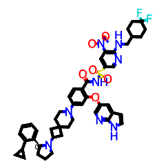 O=C(NS(=O)(=O)c1cnc(NCC2CCC(F)(F)CC2)c([N+](=O)[O-])c1)c1ccc(N2CCC3(CC2)CC(N2CCC[C@H]2c2ccccc2C2CC2)C3)cc1Oc1cnc2[nH]ccc2c1